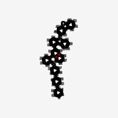 c1ccc(-c2ccc(-c3ccc(N(c4ccccc4)c4ccccc4-c4cccc(-c5cccc6c5c5ccccc5n6-c5ccc6oc7ccccc7c6c5)c4)cc3)cc2)cc1